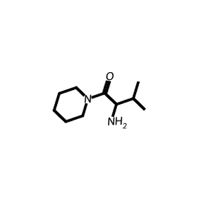 CC(C)C(N)C(=O)N1CCCCC1